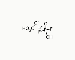 O=C([O-])O.O=P(O)(F)F.[Li+]